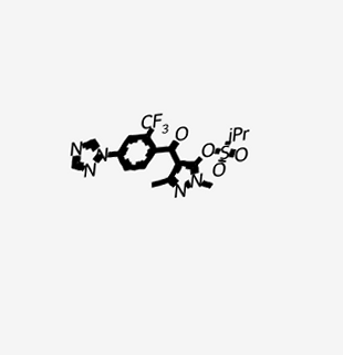 Cc1nn(C)c(OS(=O)(=O)C(C)C)c1C(=O)c1ccc(-n2cncn2)cc1C(F)(F)F